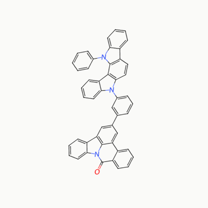 O=c1c2ccccc2c2cc(-c3cccc(-n4c5ccccc5c5c4ccc4c6ccccc6n(-c6ccccc6)c45)c3)cc3c4ccccc4n1c23